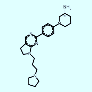 N[C@@H]1CCCN(c2ccc(-c3ncc4c(n3)N(CCCN3CCCC3)CC4)cc2)C1